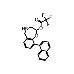 O=C(OC1CNCc2cccc(-c3cccc4ccccc34)c2O1)C(F)(F)F